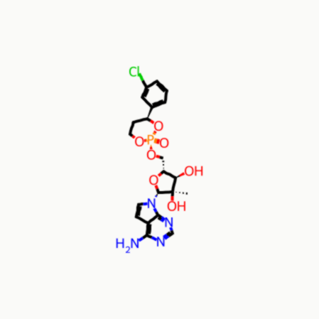 C[C@@]1(O)[C@H](O)[C@@H](CO[P@@]2(=O)OCC[C@@H](c3cccc(Cl)c3)O2)O[C@H]1n1ccc2c(N)ncnc21